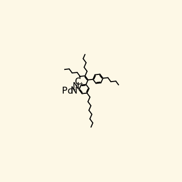 CCCCCCCCc1cccc(C(=C(CCCCC)C(=C=[N+]=[N-])CCCC)c2ccc(CCCC)cc2)c1.[Pd]